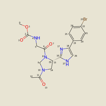 COC(=O)NCC(=O)N1CN(C(C)=O)C[C@H]1c1nc(-c2ccc(Br)cc2)c[nH]1